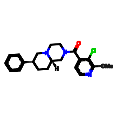 COc1nccc(C(=O)N2CCN3C[C@@H](c4ccccc4)CC[C@@H]3C2)c1Cl